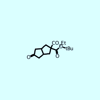 CCOC(=O)C1(C(=O)OC(C)(C)C)CC2CC(=O)CC2C1